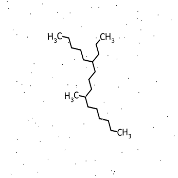 CCCCCCC(C)CCCC(CCC)CCCCC